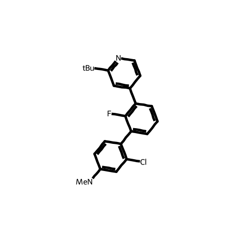 CNc1ccc(-c2cccc(-c3ccnc(C(C)(C)C)c3)c2F)c(Cl)c1